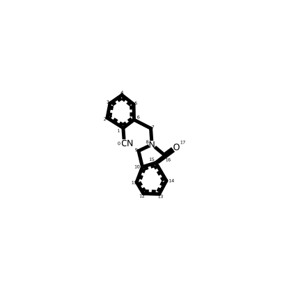 N#Cc1ccccc1CN1Cc2ccccc2C1=O